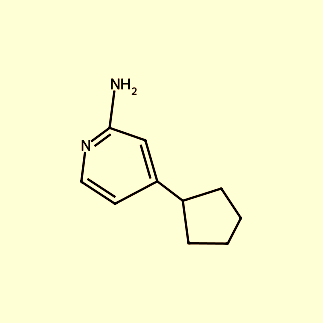 Nc1cc(C2CCCC2)ccn1